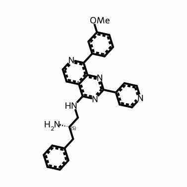 COc1cccc(-c2nccc3c(NC[C@@H](N)Cc4ccccc4)nc(-c4ccncc4)nc23)c1